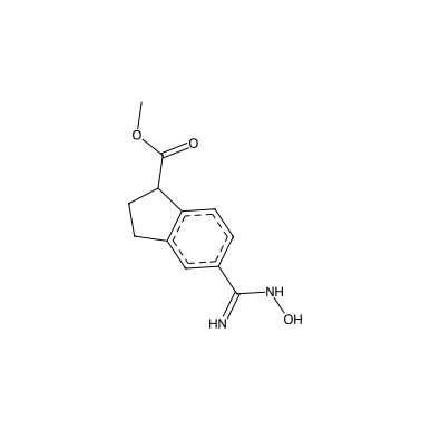 COC(=O)C1CCc2cc(C(=N)NO)ccc21